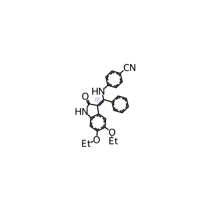 CCOc1cc2c(cc1OCC)/C(=C(/Nc1ccc(C#N)cc1)c1ccccc1)C(=O)N2